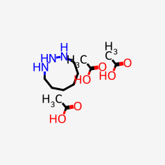 C1CCCNNNCC1.CC(=O)O.CC(=O)O.CC(=O)O